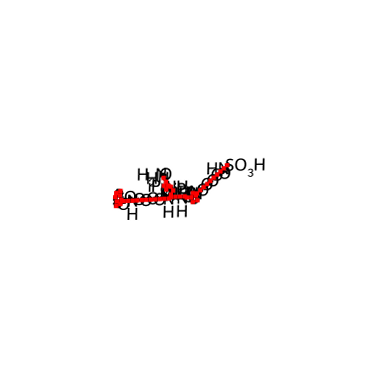 CC(C)C(=O)[C@H](CCCNC(N)=O)NC(=O)[C@@H](NC(=O)C(CCCCNC(=O)COC1CCCCCc2c1nnn2CCOCCOCCOCCOCCC(=O)NCCS(=O)(=O)O)NC(=O)CCOCCOCCOCCOCCNC(=O)CCC(=O)C1Cc2ccccc2/C=C\c2ccccc21)C(C)C